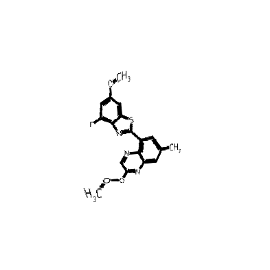 COOc1cnc2c(-c3nc4c(F)cc(OC)cc4s3)cc(C)cc2n1